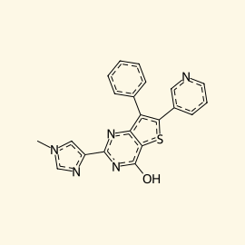 Cn1cnc(-c2nc(O)c3sc(-c4cccnc4)c(-c4ccccc4)c3n2)c1